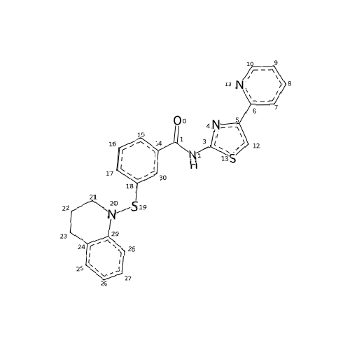 O=C(Nc1nc(-c2ccccn2)cs1)c1cccc(SN2CCCc3ccccc32)c1